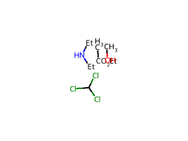 CCNCC.CCOC(C)=O.CO.ClC(Cl)Cl